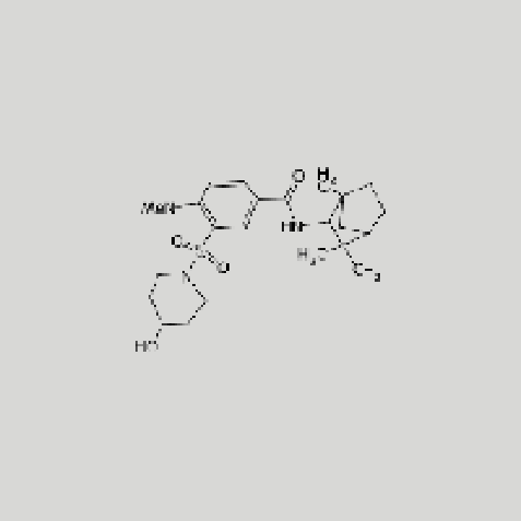 CNc1ccc(C(=O)NC2C3(C)CCC(C3)C2(C)C)cc1S(=O)(=O)N1CCC(O)CC1